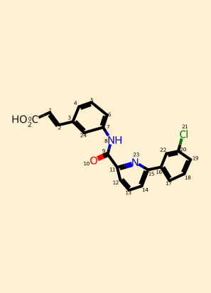 O=C(O)C=Cc1cccc(NC(=O)c2cccc(-c3cccc(Cl)c3)n2)c1